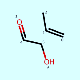 C=CC.O=CCO